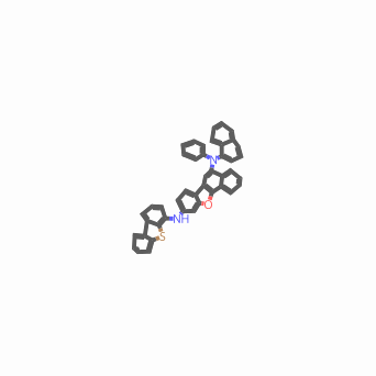 c1ccc(N(c2cccc3ccccc23)c2cc3c4ccc(Nc5cccc6c5sc5ccccc56)cc4oc3c3ccccc23)cc1